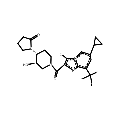 O=C(c1nc2c(C(F)(F)F)cc(C3CC3)cn2c1Cl)N1CC[C@@H](N2CCCC2=O)[C@H](O)C1